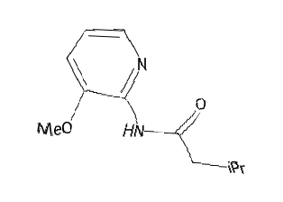 COc1cccnc1NC(=O)CC(C)C